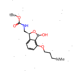 CNCCCOc1cccc2c1B(O)O[C@@H]2CNC(=O)OC(C)(C)C